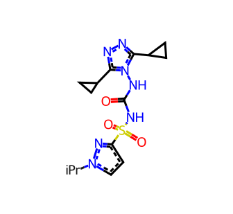 CC(C)n1ccc(S(=O)(=O)NC(=O)Nn2c(C3CC3)nnc2C2CC2)n1